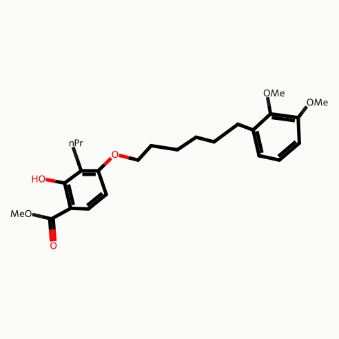 CCCc1c(OCCCCCCc2cccc(OC)c2OC)ccc(C(=O)OC)c1O